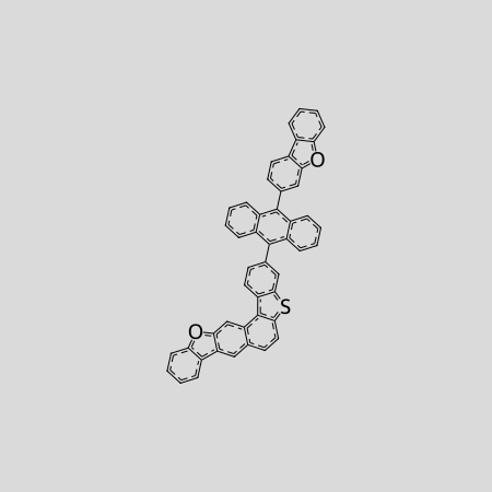 c1ccc2c(c1)oc1cc(-c3c4ccccc4c(-c4ccc5c(c4)sc4ccc6cc7c(cc6c45)oc4ccccc47)c4ccccc34)ccc12